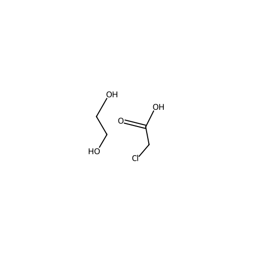 O=C(O)CCl.OCCO